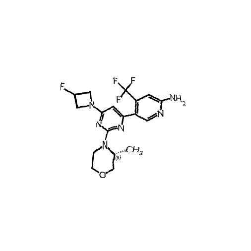 C[C@@H]1COCCN1c1nc(-c2cnc(N)cc2C(F)(F)F)cc(N2CC(F)C2)n1